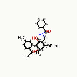 C=C(C)c1ccc(C)cc1-c1c(O)cc(CCCCC)c(CNC(=O)C2CCCCC2)c1O